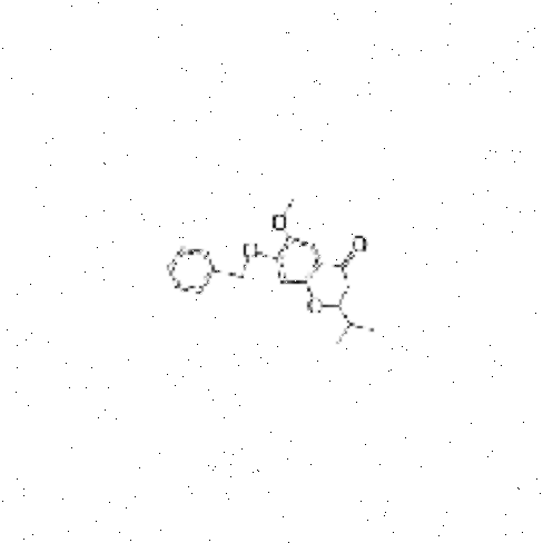 COc1cc2c(cc1OCc1ccccc1)OC(C(C)C)CC2=O